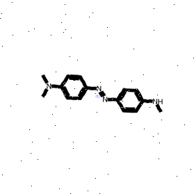 CNc1ccc(/N=N/c2ccc(N(C)C)cc2)cc1